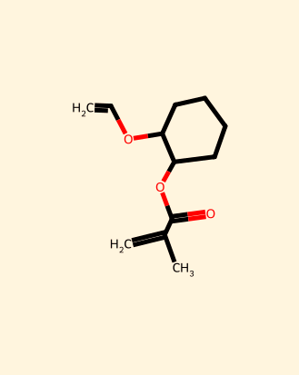 C=COC1CCCCC1OC(=O)C(=C)C